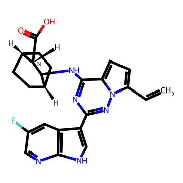 C=Cc1ccc2c(NC3[C@H]4CC[C@H](CC4)[C@@H]3C(=O)O)nc(-c3c[nH]c4ncc(F)cc34)nn12